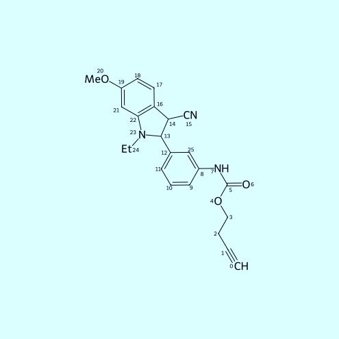 C#CCCOC(=O)Nc1cccc(C2C(C#N)c3ccc(OC)cc3N2CC)c1